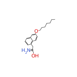 CCCCCCCOc1ccc2c(C[C@@H](N)CO)cccc2c1